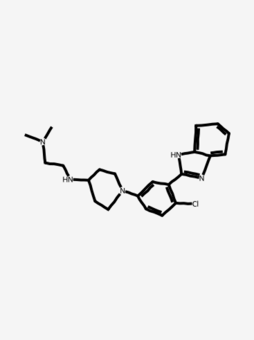 CN(C)CCNC1CCN(c2ccc(Cl)c(-c3nc4ccccc4[nH]3)c2)CC1